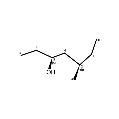 CC[C@@H](C)C[C@@H](O)CC